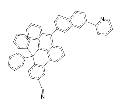 N#Cc1ccc2c(c1)-c1cccc3c(-c4ccc5ccc(-c6ccccn6)cc5c4)c4ccccc4c(c13)C2(c1ccccc1)c1ccccc1